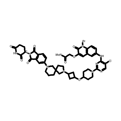 CNC(=O)COc1cc2cc(Nc3nc(N4CCC(OC5CC(N6CCC7(CCCN(c8ccc9c(c8)C(=O)N([C@@H]8CCC(=O)NC8=O)C9=O)C7)C6)C5)CC4)ncc3Cl)ccc2n(C(C)C)c1=O